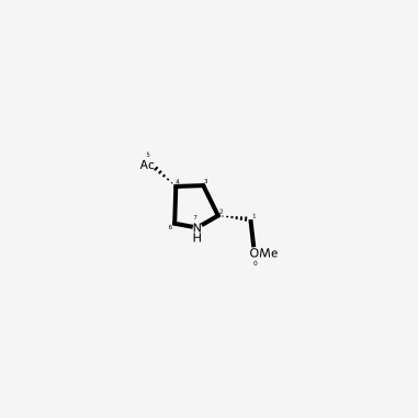 COC[C@H]1C[C@@H](C(C)=O)CN1